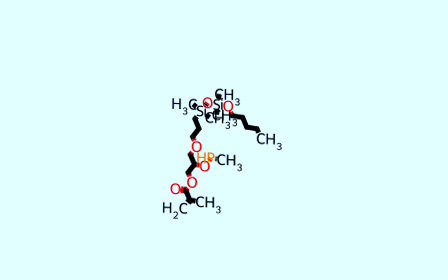 C=C(C)C(=O)OCC(COCCC[Si](C)(C)O[Si](C)(C)OCCCCC)OPC